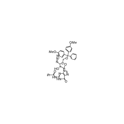 COc1ccc(C(OC[C@H]2O[C@@H](n3cnc4c(=O)[nH]c(NC(=O)C(C)C)nc43)[C@H](O)C2N=[N+]=[N-])(c2ccccc2)c2ccc(OC)cc2)cc1